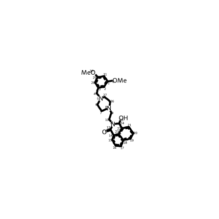 COc1cc(CN2CCN(CCN3C(=O)c4cccc5cccc(c45)C3O)CC2)cc(OC)c1